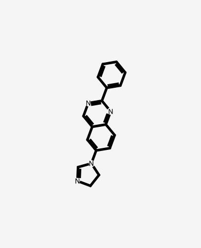 C1=NCCN1c1ccc2nc(-c3ccccc3)ncc2c1